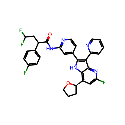 O=C(Nc1cc(-c2[nH]c3c([C@H]4CCCO4)cc(F)nc3c2-c2ccccn2)ccn1)C(CC(F)F)c1ccc(F)cc1